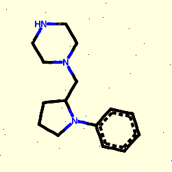 c1ccc(N2CCCC2CN2CCNCC2)cc1